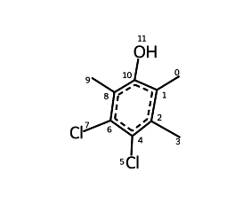 Cc1c(C)c(Cl)c(Cl)c(C)c1O